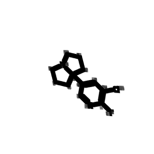 Fc1ncc(C23CCCN2CCC3)cc1Cl